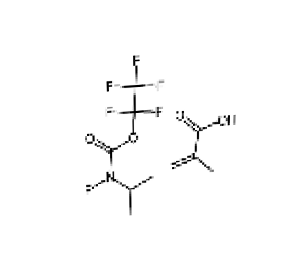 C=C(C)C(=O)O.CC(C)N(F)C(=O)OC(F)(F)C(F)(F)F